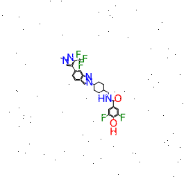 Cn1cc(-c2ccc3cn(C4CCC(CNC(=O)c5cc(F)c(O)c(F)c5)CC4)nc3c2)c(C(F)(F)F)n1